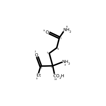 CCC(=O)C(N)(CCC(N)=O)C(=O)O